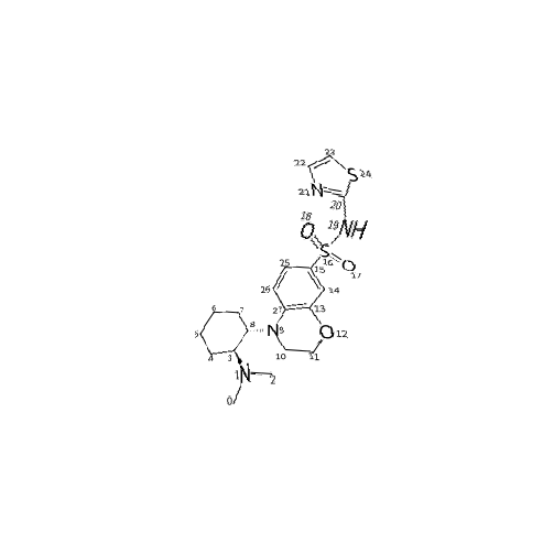 CN(C)[C@H]1CCCC[C@@H]1N1CCOc2cc(S(=O)(=O)Nc3nccs3)ccc21